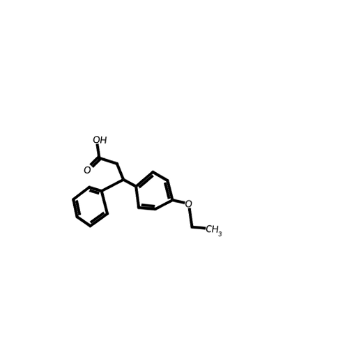 CCOc1ccc(C(CC(=O)O)c2ccccc2)cc1